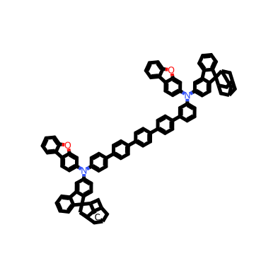 c1cc(-c2ccc(-c3ccc(-c4ccc(-c5ccc(N(c6ccc7c(c6)-c6ccccc6C76C7CC8CC9CC6C9(C8)C7)c6ccc7c(c6)oc6ccccc67)cc5)cc4)cc3)cc2)cc(N(c2ccc3c(c2)-c2ccccc2C32C3CC4CC(C3)CC2C4)c2ccc3c(c2)oc2ccccc23)c1